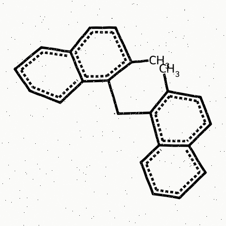 Cc1ccc2ccccc2c1[CH]c1c(C)ccc2ccccc12